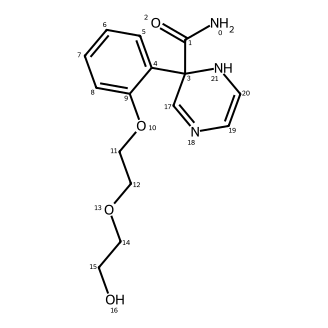 NC(=O)C1(c2ccccc2OCCOCCO)C=NC=CN1